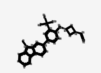 Cn1c2ccncc2c2ccc(-c3cnc(O[C@H]4C[C@H](C=O)C4)c(C(F)(F)F)c3)cc21